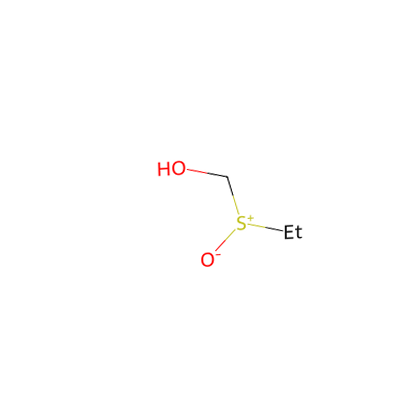 CC[S+]([O-])CO